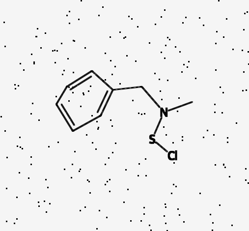 CN(Cc1ccccc1)SCl